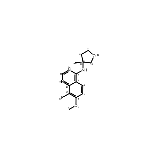 COc1ccc2c(N[C@]3(C)CCOC3)ncnc2c1F